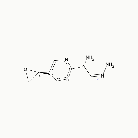 N/N=C\N(N)c1ncc([C@H]2CO2)cn1